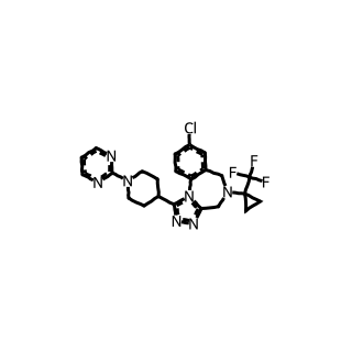 FC(F)(F)C1(N2Cc3cc(Cl)ccc3-n3c(nnc3C3CCN(c4ncccn4)CC3)C2)CC1